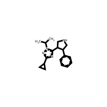 CC(C)n1nc(C2CC2)nc1C1CNCC1c1ccccc1